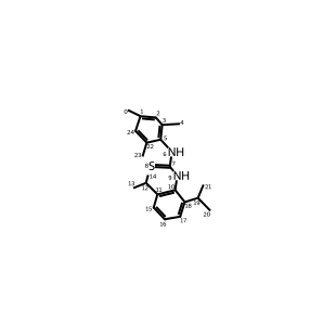 Cc1cc(C)c(NC(=S)Nc2c(C(C)C)cccc2C(C)C)c(C)c1